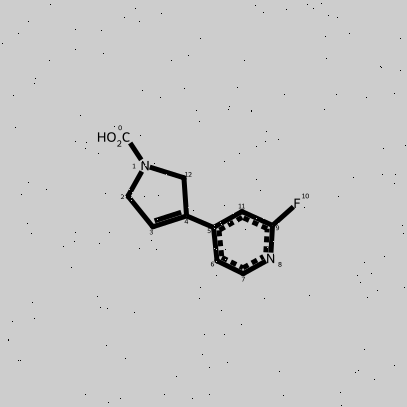 O=C(O)N1CC=C(c2ccnc(F)c2)C1